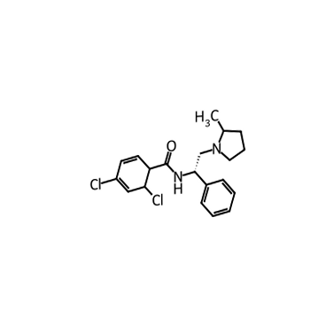 CC1CCCN1C[C@@H](NC(=O)C1C=CC(Cl)=CC1Cl)c1ccccc1